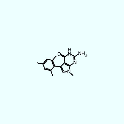 Cc1cc(C)c(-c2cn(C)c3nc(N)[nH]c(=O)c23)c(C)c1